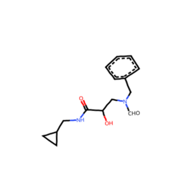 O=CN(Cc1ccccc1)CC(O)C(=O)NCC1CC1